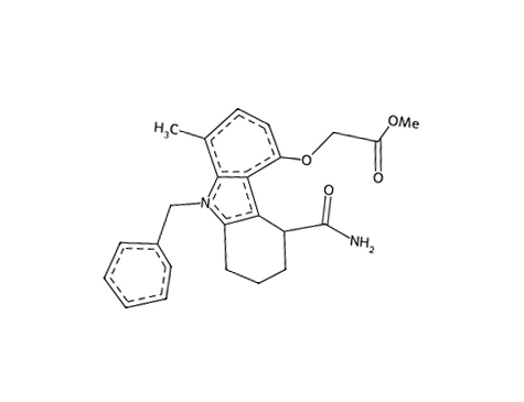 COC(=O)COc1ccc(C)c2c1c1c(n2Cc2ccccc2)CCCC1C(N)=O